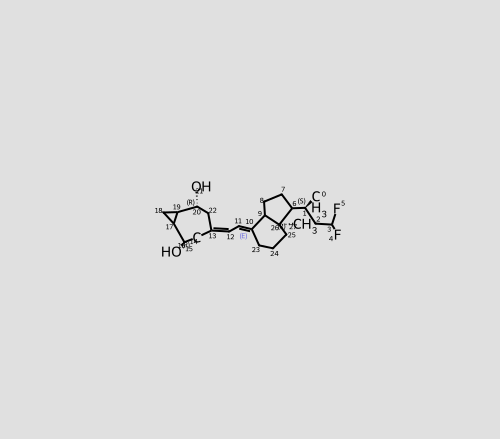 C[C@@H](CC(F)F)C1CCC2/C(=C/C=C3C[C@@H](O)C4CC4[C@H](O)C3)CCC[C@@]21C